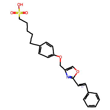 O=S(=O)(O)CCCCCc1ccc(OCc2coc(/C=C/c3ccccc3)n2)cc1